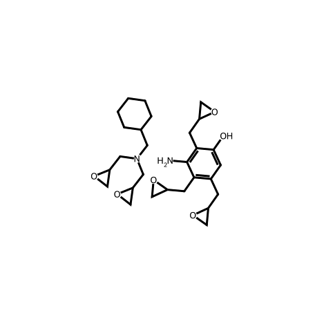 C1CCC(CN(CC2CO2)CC2CO2)CC1.Nc1c(CC2CO2)c(O)cc(CC2CO2)c1CC1CO1